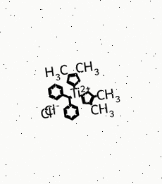 CC1=C(C)C[C]([Ti+2]([C]2=CC(C)=C(C)C2)=[C](c2ccccc2)c2ccccc2)=C1.[Cl-].[Cl-]